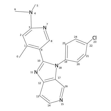 Cc1cc(N(C)C)ncc1-c1nc2ccncc2n1-c1ccc(Cl)cc1